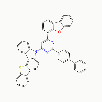 c1ccc(-c2ccc(-c3nc(-c4cccc5c4oc4ccccc45)cc(-n4c5ccccc5c5c6sc7ccccc7c6ccc54)n3)cc2)cc1